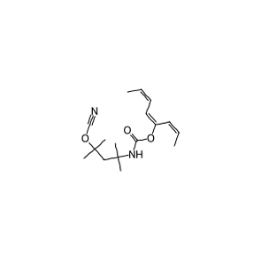 C\C=C/C=C(\C=C/C)OC(=O)NC(C)(C)CC(C)(C)OC#N